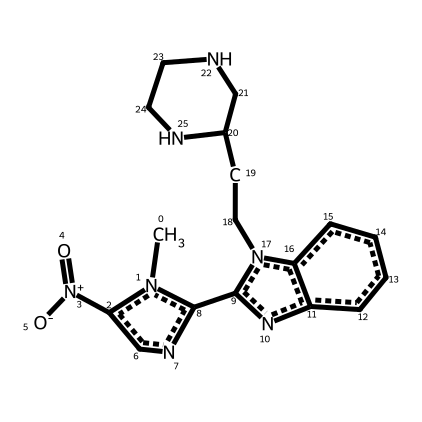 Cn1c([N+](=O)[O-])cnc1-c1nc2ccccc2n1CCC1CNCCN1